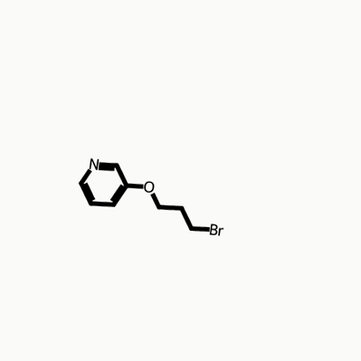 BrCCCOc1cccnc1